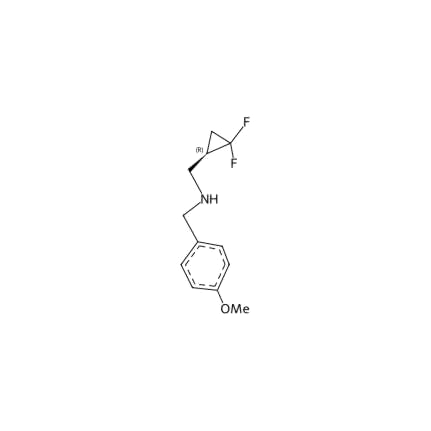 COc1ccc(CNC[C@H]2CC2(F)F)cc1